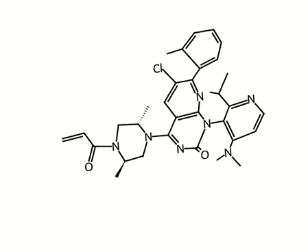 C=CC(=O)N1C[C@H](C)N(c2nc(=O)n(-c3c(N(C)C)ccnc3C(C)C)c3nc(-c4ccccc4C)c(Cl)cc23)C[C@H]1C